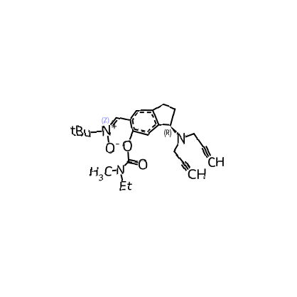 C#CCN(CC#C)[C@@H]1CCc2cc(/C=[N+](\[O-])C(C)(C)C)c(OC(=O)N(C)CC)cc21